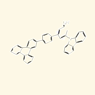 C/C(=C\C(=C/C=N)c1ccc(-c2ccc3c4ccccc4c4ccccc4c3c2)cc1)n1c2ccccc2c2ccccc21